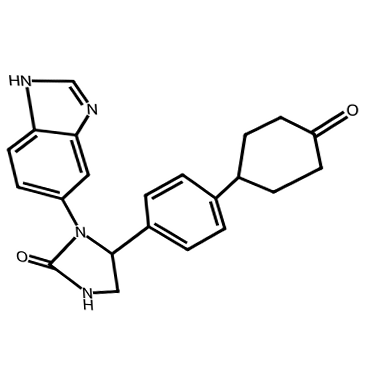 O=C1CCC(c2ccc(C3CNC(=O)N3c3ccc4[nH]cnc4c3)cc2)CC1